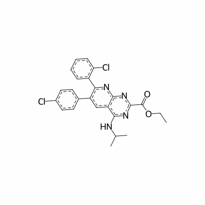 CCOC(=O)c1nc(NC(C)C)c2cc(-c3ccc(Cl)cc3)c(-c3ccccc3Cl)nc2n1